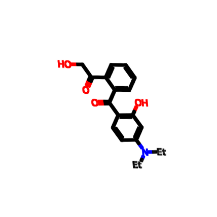 CCN(CC)c1ccc(C(=O)c2ccccc2C(=O)CO)c(O)c1